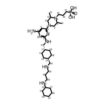 CC1CN(c2cc(N)nc(NC[C@H]3CC[C@H](CNCCCNC4CCCCC4)CC3)n2)CC(C)N1CCCP(=O)(O)O